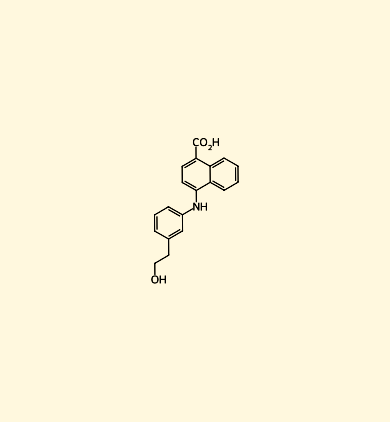 O=C(O)c1ccc(Nc2cccc(CCO)c2)c2ccccc12